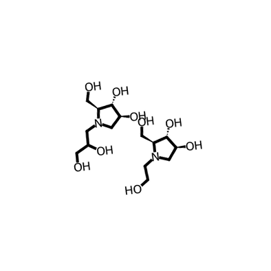 OCC(O)CN1C[C@H](O)[C@@H](O)[C@@H]1CO.OCCN1C[C@H](O)[C@@H](O)[C@@H]1CO